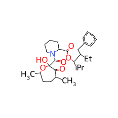 CCC(Cc1ccccc1)C(OC(=O)C1CCCCN1C(=O)C1(O)OC(C)CCC(C)C1=O)C(C)C